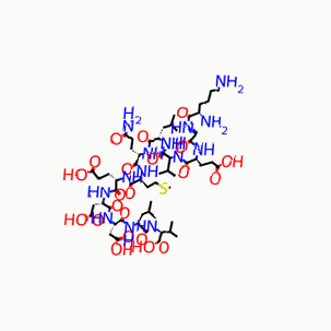 CSCC[C@H](NC(=O)[C@H](CCC(N)=O)NC(=O)[C@H](CC(C)C)NC(=O)[C@@H](NC(=O)[C@H](CCC(=O)O)NC(=O)CNC(=O)[C@@H](N)CCCCN)C(C)C)C(=O)N[C@@H](CCC(=O)O)C(=O)N[C@@H](CC(=O)O)C(=O)N[C@@H](CC(=O)O)C(=O)N[C@@H](CC(C)C)C(=O)N[C@H](C(=O)O)C(C)C